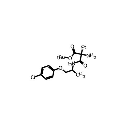 CCC(N)(C(=O)NC(C)COc1ccc(Cl)cc1)C(=O)OC(C)(C)C